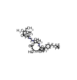 CCC(O)C(C)C1OC1CC(C)(O)/C=C/C=C(\C)C1OC(=O)CC(O)CCC(C)(O)C(OC(=O)N2CCN(CCCC(F)(F)F)CC2)/C=C/C1C